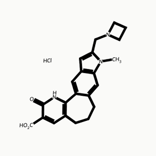 Cl.Cn1c(CN2CCC2)cc2cc3c(cc21)CCCc1cc(C(=O)O)c(=O)[nH]c1-3